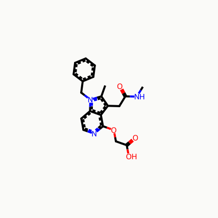 CNC(=O)Cc1c(C)n(Cc2ccccc2)c2ccnc(OCC(=O)O)c12